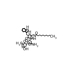 CCCCCCCCCC(=O)NCC(=O)NC(Cc1c[nH]c2ccccc12)C(=O)NC(CC(N)=O)C(=O)NC(CC(=O)O)C(=O)NC